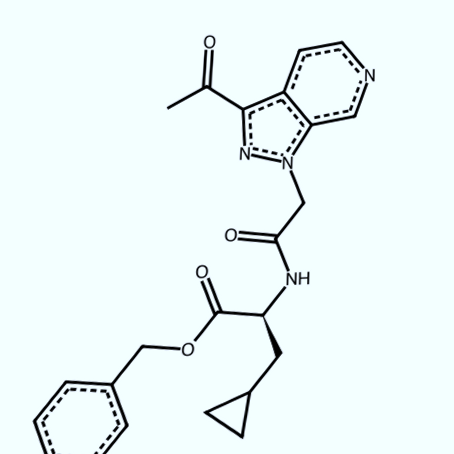 CC(=O)c1nn(CC(=O)N[C@@H](CC2CC2)C(=O)OCc2ccccc2)c2cnccc12